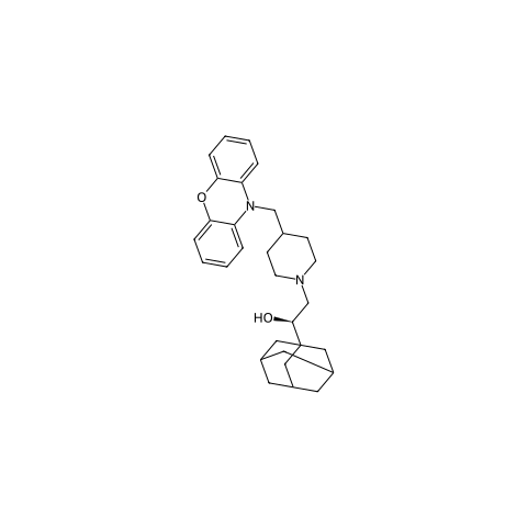 O[C@@H](CN1CCC(CN2c3ccccc3Oc3ccccc32)CC1)C12CC3CC(CC(C3)C1)C2